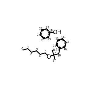 CCCCCCOC(C)(C)Cc1ccccc1.Oc1ccccc1